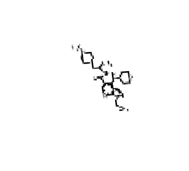 CCn1ncc2c(NC3CCOCC3)c(C(=O)NC(C)CN3CCN(C)CC3)cnc21